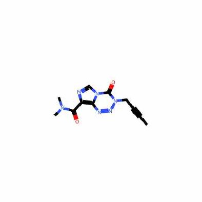 CC#CCn1nnc2c(C(=O)N(C)C)ncn2c1=O